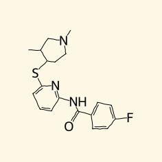 CC1CN(C)CCC1Sc1cccc(NC(=O)c2ccc(F)cc2)n1